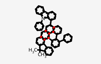 CC1(C)c2ccccc2-c2c(N(c3ccc(-c4cccc5c6ccccc6n(-c6ccccc6)c45)cc3)c3cccc(-c4ccccc4)c3-c3ccccc3-c3ccccc3)cccc21